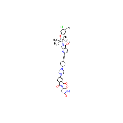 CC1(C)[C@H](Oc2ccc(C#N)c(Cl)c2)C(C)(C)[C@H]1N1Cc2nc(C#C[C@H]3CC[C@H](N4CCN(c5ccc6c(c5)C(=O)N(C5CCC(=O)NC5=O)C6=O)CC4)CC3)ccc2C1=O